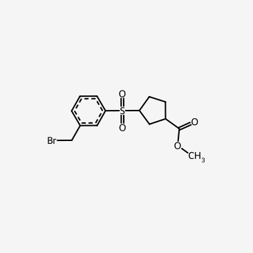 COC(=O)C1CCC(S(=O)(=O)c2cccc(CBr)c2)C1